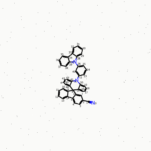 N#Cc1ccc2c(c1)C1(c3ccccc3-2)c2ccccc2N(c2cccc(-n3c4ccccc4c4ccccc43)c2)c2ccccc21